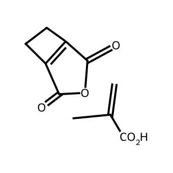 C=C(C)C(=O)O.O=C1OC(=O)C2=C1CC2